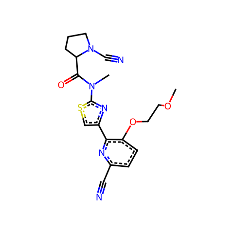 COCCOc1ccc(C#N)nc1-c1csc(N(C)C(=O)C2CCCN2C#N)n1